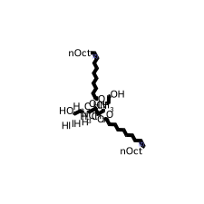 CCCCCCCC/C=C\CCCCCCCC(=O)OC(C)(CNCCO)C(C)(OC(=O)CCCCCCC/C=C\CCCCCCCC)C(C)(C)NCCO.I.I